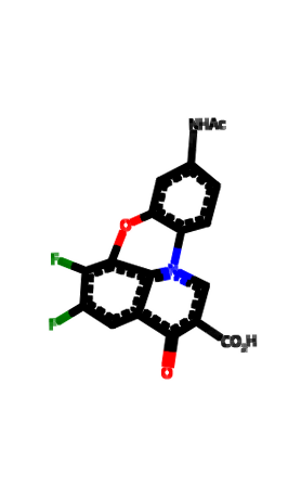 CC(=O)Nc1ccc2c(c1)Oc1c(F)c(F)cc3c(=O)c(C(=O)O)cn-2c13